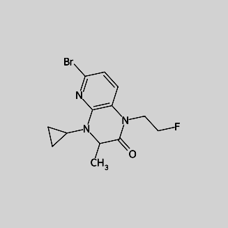 CC1C(=O)N(CCF)c2ccc(Br)nc2N1C1CC1